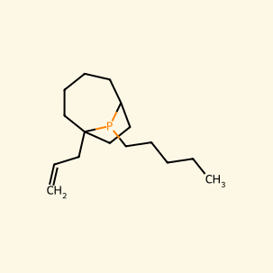 C=CCC12CCCCC(CC1)P2CCCCC